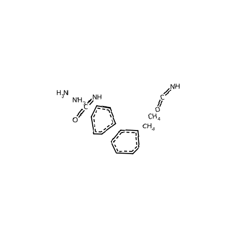 C.C.N.N.N=C=O.N=C=O.c1ccccc1.c1ccccc1